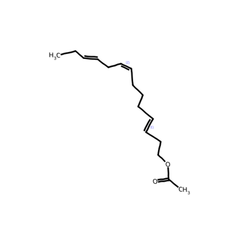 CCC=CC/C=C\CCC/C=C/CCOC(C)=O